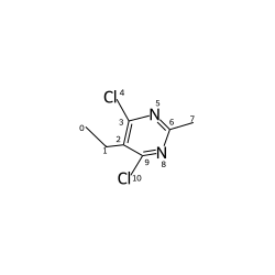 CCc1c(Cl)nc(C)nc1Cl